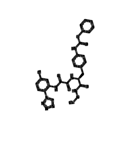 CC(C)(C)ONC(=O)[C@H](Cc1ccc(NC(=O)Oc2ccccc2)cc1)NC(=O)C(=O)Nc1cc(Cl)ccc1-n1cnnn1